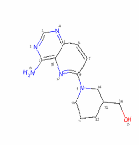 Nc1ncnc2ccc(N3CCCC(CO)C3)nc12